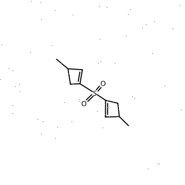 CC1C=C(S(=O)(=O)C2=CC(C)C2)C1